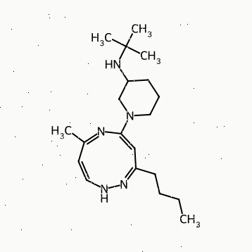 CCCCc1cc(N2CCCC(NC(C)(C)C)C2)nc(C)cc[nH]n1